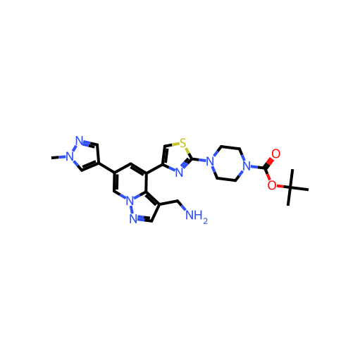 Cn1cc(-c2cc(-c3csc(N4CCN(C(=O)OC(C)(C)C)CC4)n3)c3c(CN)cnn3c2)cn1